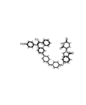 CCC(=C(c1ccc(O)cc1)c1ccc(N2CCC(CN3CCC(Oc4ccc5c(c4)CN(C4CCC(=O)NC4=O)C5=O)CC3)CC2)cc1)c1ccccc1